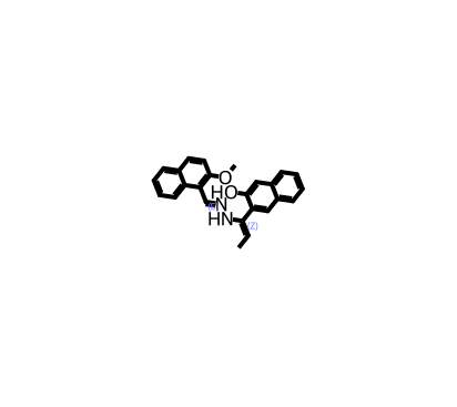 C/C=C(\N/N=C/c1c(OC)ccc2ccccc12)c1cc2ccccc2cc1O